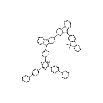 CC1(C)c2ccccc2-c2ccc(-n3c4ccccc4c4ccc(-c5ccc6c(c5)c5ccccc5n6-c5ccc(-c6nc(-c7ccc(-c8ccccc8)cc7)nc(-c7ccc(-c8ccccc8)cc7)n6)cc5)cc43)cc21